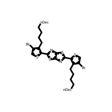 CCCCCCCCCCCCCCc1c(Br)csc1-c1nc2sc(-c3scc(Br)c3CCCCCCCCCCCCCC)nc2s1